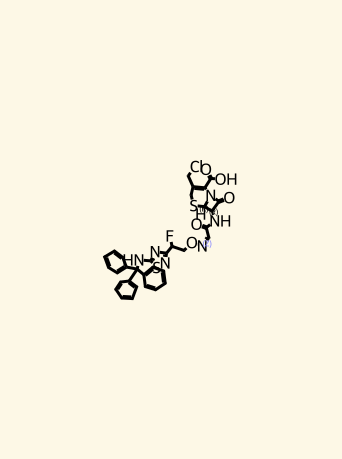 O=C(/C=N\OCC(F)c1nsc(NC(c2ccccc2)(c2ccccc2)c2ccccc2)n1)N[C@@H]1C(=O)N2C(C(=O)O)=C(CCl)CS[C@H]12